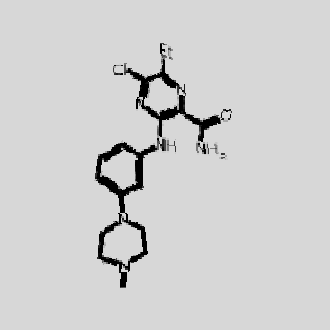 CCc1nc(C(N)=O)c(Nc2cccc(N3CCN(C)CC3)c2)nc1Cl